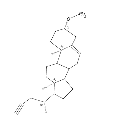 C#CC[C@@H](C)C1CCC2C3CC=C4C[C@@H](OP)CC[C@]4(C)C3CC[C@@]21C